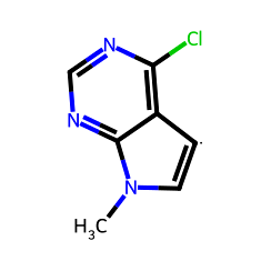 Cn1c[c]c2c(Cl)ncnc21